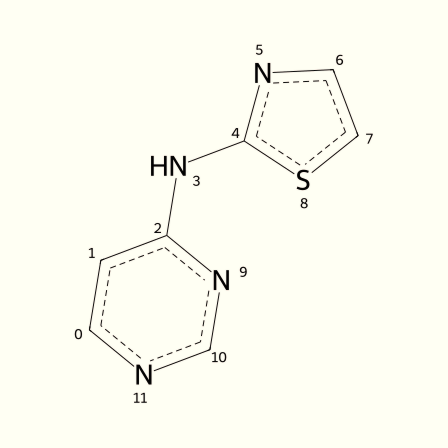 c1cc(Nc2nccs2)ncn1